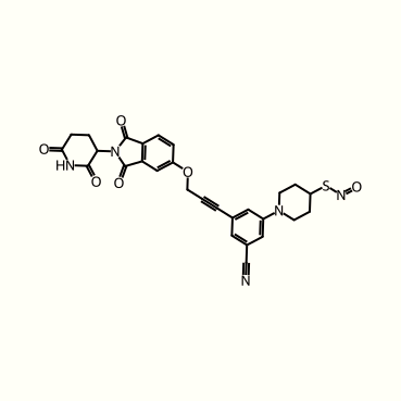 N#Cc1cc(C#CCOc2ccc3c(c2)C(=O)N(C2CCC(=O)NC2=O)C3=O)cc(N2CCC(SN=O)CC2)c1